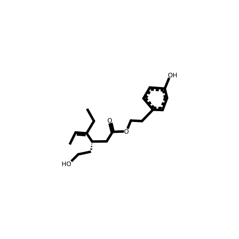 C/C=C(/CC)[C@@H](CCO)CC(=O)OCCc1ccc(O)cc1